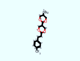 CCCCC1COC(C2COC(CCc3ccc(C(F)(F)F)cc3)OC2)OC1